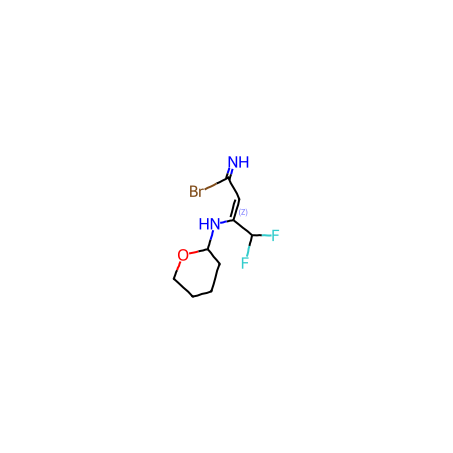 N=C(Br)/C=C(\NC1CCCCO1)C(F)F